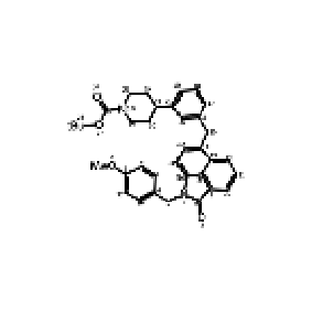 COc1ccc(CN2C(=O)c3cccc4c(Cc5cccc(C6CCN(C(=O)OC(C)(C)C)CC6)c5)ccc2c34)cc1